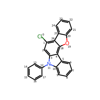 Clc1cc2c(c3ccccc3n2-c2ccccc2)c2oc3ccccc3c12